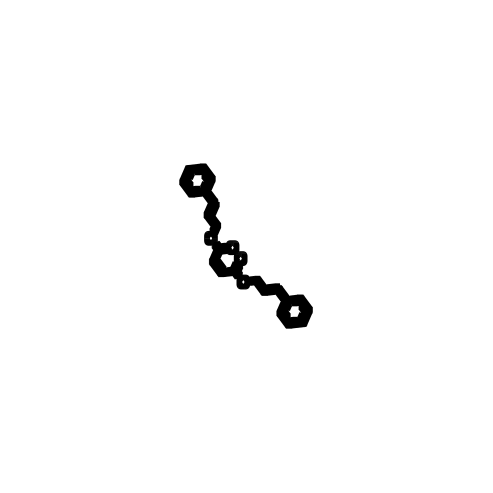 O=C(/C=C\C(=O)OC/C=C/c1ccccc1)OC/C=C/c1ccccc1